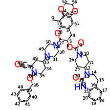 Cc1cc(C[C@@H](OC(=O)N2CCC(N3CCc4ccccc4NC3=O)CC2)C(=O)N2CCN(C3CCN(OCc4ccccc4)C(=C=O)C3)CC2)cc2c1OCCO2